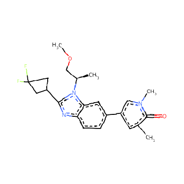 COC[C@@H](C)n1c(C2CC(F)(F)C2)nc2ccc(-c3cc(C)c(=O)n(C)c3)cc21